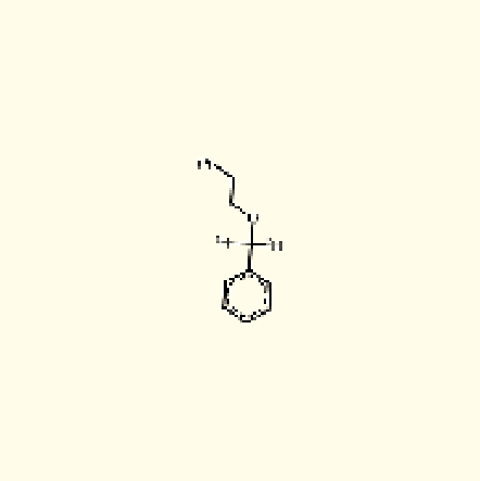 [2H]C([2H])(OCCC(C)C)c1ccccc1